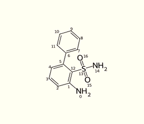 Nc1cccc(-c2ccccc2)c1S(N)(=O)=O